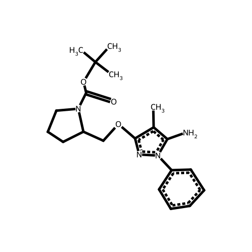 Cc1c(OCC2CCCN2C(=O)OC(C)(C)C)nn(-c2ccccc2)c1N